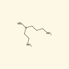 CCCCN(CCN)CCCN